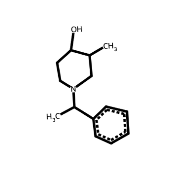 CC1CN(C(C)c2ccccc2)CCC1O